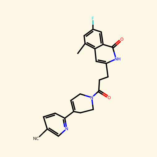 Cc1cc(F)cc2c(=O)[nH]c(CCC(=O)N3CC=C(c4ccc(C#N)cn4)CC3)cc12